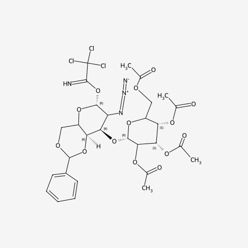 CC(=O)OCC1O[C@@H](O[C@@H]2C(N=[N+]=[N-])[C@@H](OC(=N)C(Cl)(Cl)Cl)OC3COC(c4ccccc4)O[C@@H]32)C(OC(C)=O)[C@@H](OC(C)=O)[C@H]1OC(C)=O